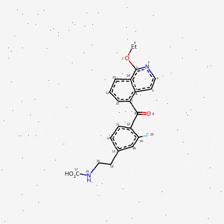 CCOc1nccc2c(C(=O)c3ccc(CCNC(=O)O)cc3F)cccc12